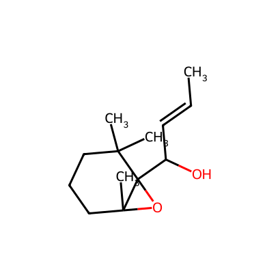 CC=CC(O)C12OC1(C)CCCC2(C)C